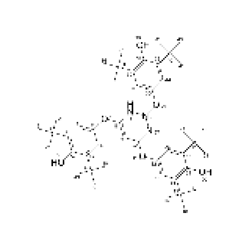 CC(C)(C)c1cc(OC2=CC(Oc3cc(C(C)(C)C)c(O)c(C(C)(C)C)c3)=NN(Oc3cc(C(C)(C)C)c(O)c(C(C)(C)C)c3)N2)cc(C(C)(C)C)c1O